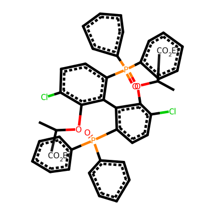 CCOC(=O)C(C)Oc1c(Cl)ccc(P(=O)(c2ccccc2)c2ccccc2)c1-c1c(P(=O)(c2ccccc2)c2ccccc2)ccc(Cl)c1OC(C)C(=O)OCC